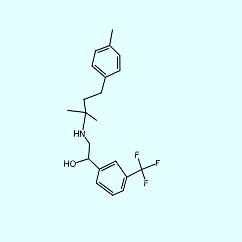 Cc1ccc(CCC(C)(C)NCC(O)c2cccc(C(F)(F)F)c2)cc1